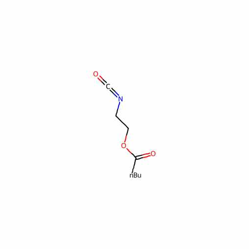 CCCCC(=O)OCCN=C=O